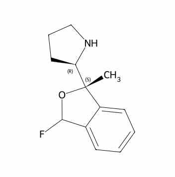 C[C@]1([C@H]2CCCN2)OC(F)c2ccccc21